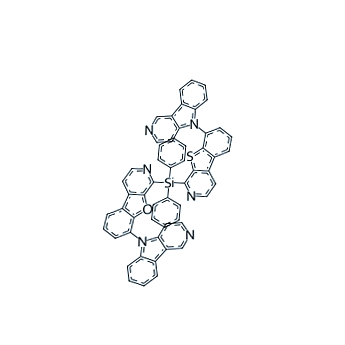 c1ccc([Si](c2ccccc2)(c2nccc3c2oc2c(-n4c5ccccc5c5cnccc54)cccc23)c2nccc3c2sc2c(-n4c5ccccc5c5cnccc54)cccc23)cc1